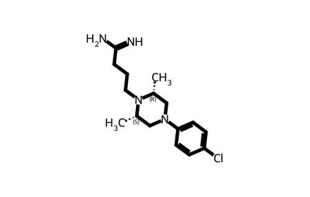 C[C@@H]1CN(c2ccc(Cl)cc2)C[C@H](C)N1CCCC(=N)N